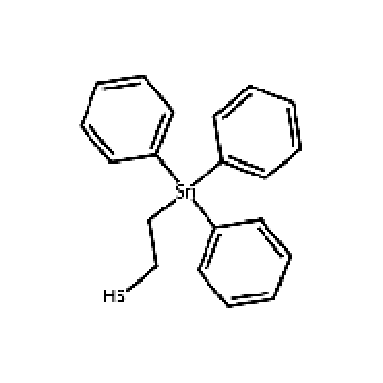 SC[CH2][Sn]([c]1ccccc1)([c]1ccccc1)[c]1ccccc1